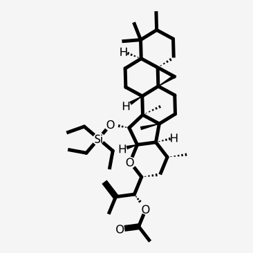 C=C(C)[C@@H](OC(C)=O)[C@H]1C[C@@H](C)[C@H]2[C@H](O1)[C@H](O[Si](CC)(CC)CC)[C@@]1(C)[C@@H]3CC[C@H]4C(C)(C)C(C)CC[C@@]45C[C@@]35CC[C@]21C